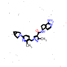 Cc1nc(N2CC3CC3C2)ccc1Cn1cc(C(=O)N[C@@H]2CCc3c2ccnc3N)c(C)n1